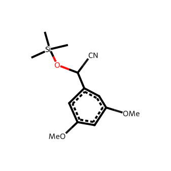 COc1cc(OC)cc(C(C#N)O[Si](C)(C)C)c1